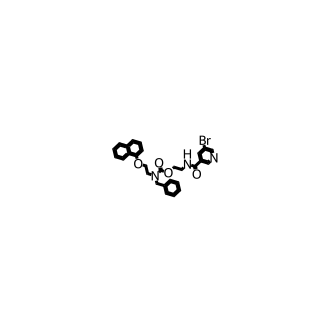 O=C(NCCOC(=O)N(CCOc1cccc2ccccc12)Cc1ccccc1)c1cncc(Br)c1